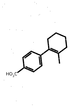 CC1=C(c2ccc(C(=O)O)cc2)CCCC1